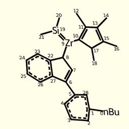 CCCCc1cccc(C2=C[CH]([Zr]([C]3=C(C)C(C)=C(C)C3C)=[Si](C)C)c3ccccc32)c1